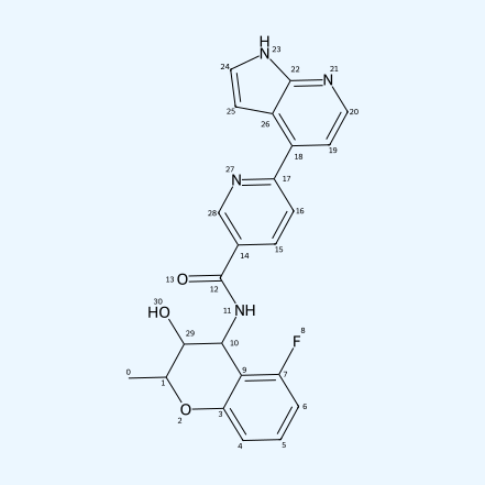 CC1Oc2cccc(F)c2C(NC(=O)c2ccc(-c3ccnc4[nH]ccc34)nc2)C1O